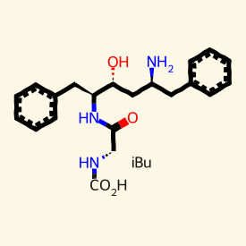 CC[C@H](C)[C@H](NC(=O)O)C(=O)N[C@@H](Cc1ccccc1)[C@H](O)C[C@@H](N)Cc1ccccc1